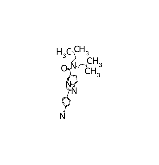 CC(C)CCN(CCC(C)C)C(=O)c1ccc2nc(-c3ccc(C#N)cc3)cn2c1